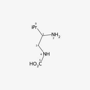 CC(C)C(N)CNC(=O)O